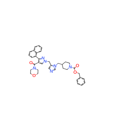 O=C(OCc1ccccc1)N1CCC(Cn2cncc2Cn2cc(C(=O)N3CCOCC3)c(-c3cccc4ccccc34)n2)CC1